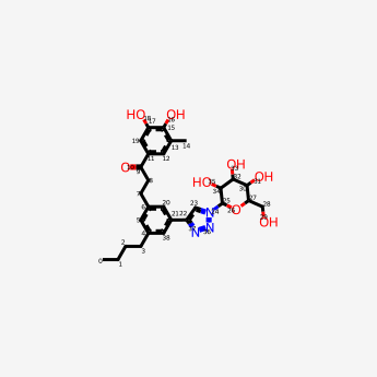 CCCCc1cc(CCC(=O)c2cc(C)c(O)c(O)c2)cc(-c2cn(C3OC(CO)C(O)C(O)C3O)nn2)c1